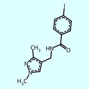 Cc1nn(C)cc1CNC(=O)c1ccc(I)cc1